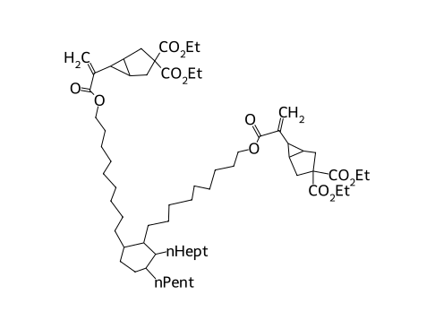 C=C(C(=O)OCCCCCCCCCC1CCC(CCCCC)C(CCCCCCC)C1CCCCCCCCCOC(=O)C(=C)C1C2CC(C(=O)OCC)(C(=O)OCC)CC21)C1C2CC(C(=O)OCC)(C(=O)OCC)CC21